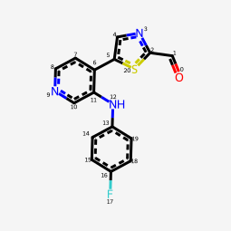 O=Cc1ncc(-c2ccncc2Nc2ccc(F)cc2)s1